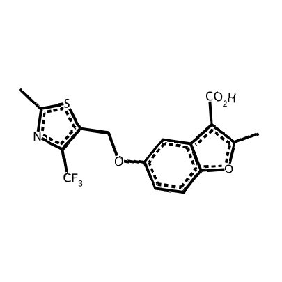 Cc1nc(C(F)(F)F)c(COc2ccc3oc(C)c(C(=O)O)c3c2)s1